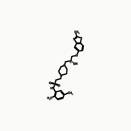 Cc1ccc(C)c(NS(=O)(=O)CCN2CCN(C[C@@H](O)COc3ccc4sc(C)nc4c3)CC2)c1